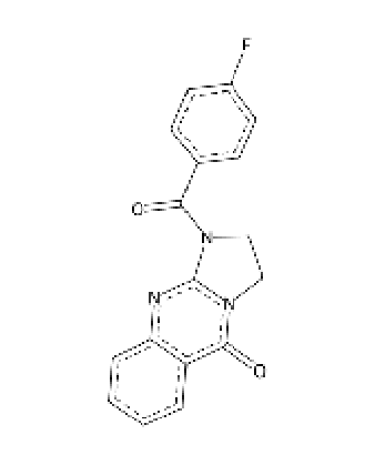 O=C(c1ccc(F)cc1)N1CCn2c1nc1ccccc1c2=O